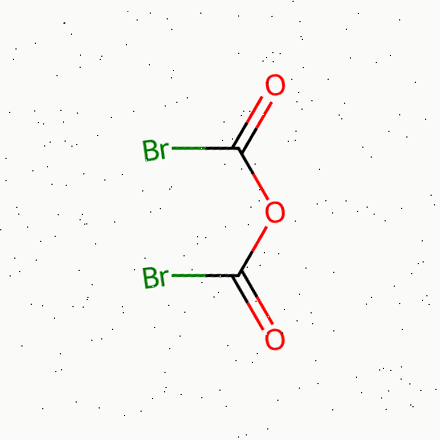 O=C(Br)OC(=O)Br